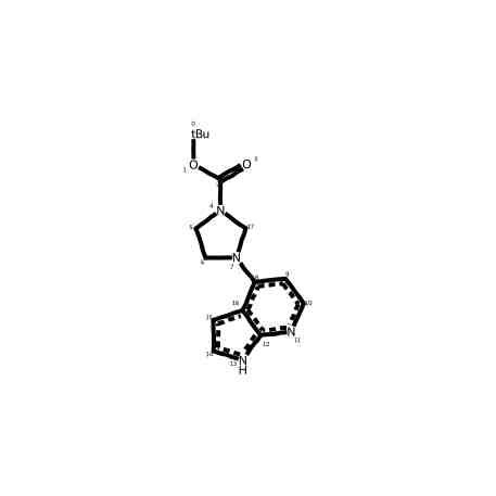 CC(C)(C)OC(=O)N1CCN(c2ccnc3[nH]ccc23)C1